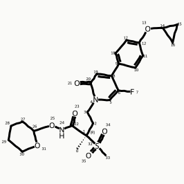 C[C@@](CCn1cc(F)c(-c2ccc(OC3CC3)cc2)cc1=O)(C(=O)NOC1CCCCO1)S(C)(=O)=O